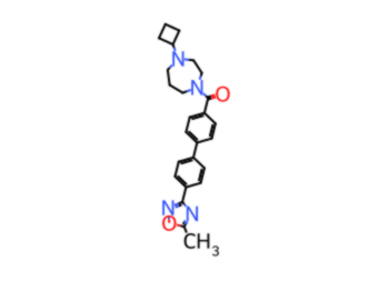 Cc1nc(-c2ccc(-c3ccc(C(=O)N4CCCN(C5CCC5)CC4)cc3)cc2)no1